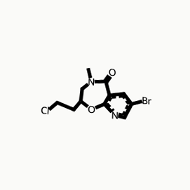 CN1CC(CCCl)Oc2ncc(Br)cc2C1=O